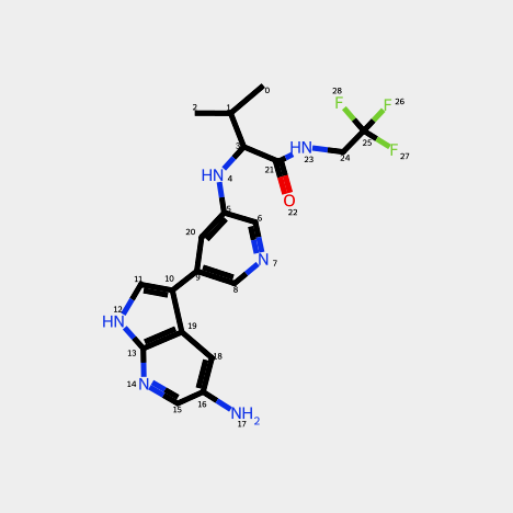 CC(C)C(Nc1cncc(-c2c[nH]c3ncc(N)cc23)c1)C(=O)NCC(F)(F)F